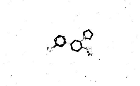 CC(C)N[C@H]1CC[C@H](c2cccc(C(F)(F)F)c2)C[C@@H]1N1CCCC1